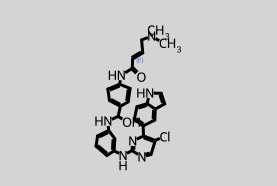 CN(C)C/C=C/C(=O)Nc1ccc(C(O)Nc2cccc(Nc3ncc(Cl)c(-c4ccc5[nH]ccc5c4)n3)c2)cc1